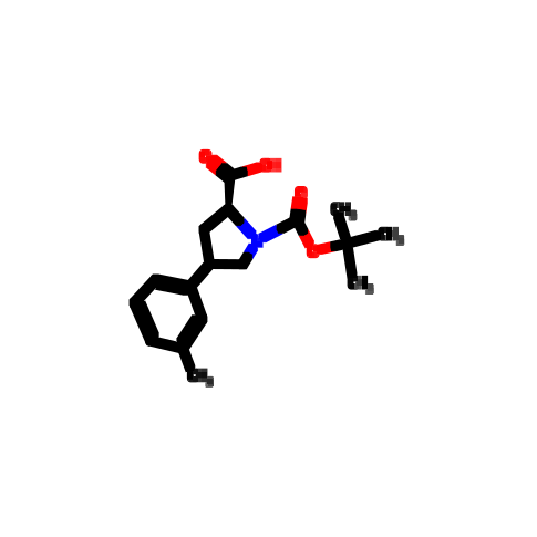 Cc1cccc(C2C[C@@H](C(=O)O)N(C(=O)OC(C)(C)C)C2)c1